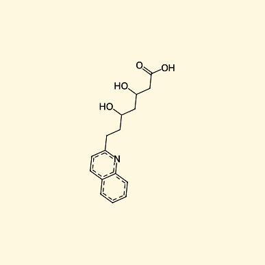 O=C(O)CC(O)CC(O)CCc1ccc2ccccc2n1